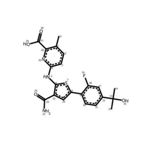 Cc1ccc(Nc2sc(-c3ccc(C(C)(C)O)cc3F)cc2C(N)=O)nc1C(=O)O